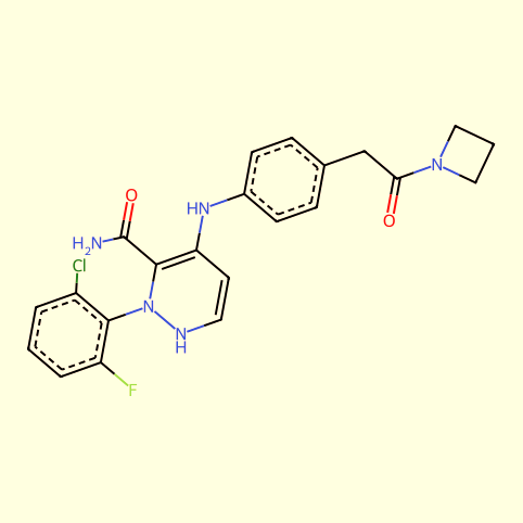 NC(=O)C1=C(Nc2ccc(CC(=O)N3CCC3)cc2)C=CNN1c1c(F)cccc1Cl